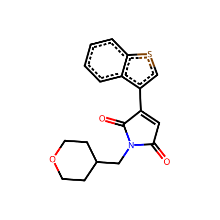 O=C1C=C(c2csc3ccccc23)C(=O)N1CC1CCOCC1